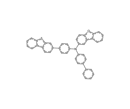 c1ccc(-c2ccc(N(c3ccc(-c4ccc5c(c4)sc4ccccc45)cc3)c3ccc4oc5ccccc5c4c3)cc2)cc1